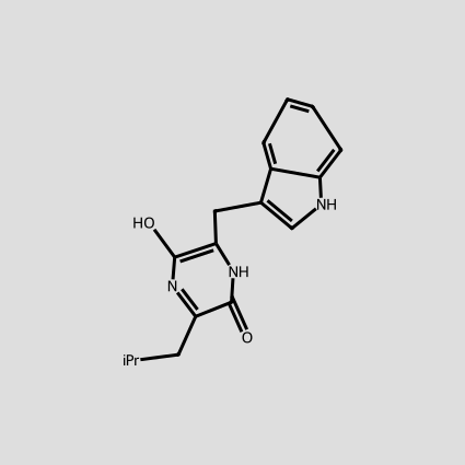 CC(C)Cc1nc(O)c(Cc2c[nH]c3ccccc23)[nH]c1=O